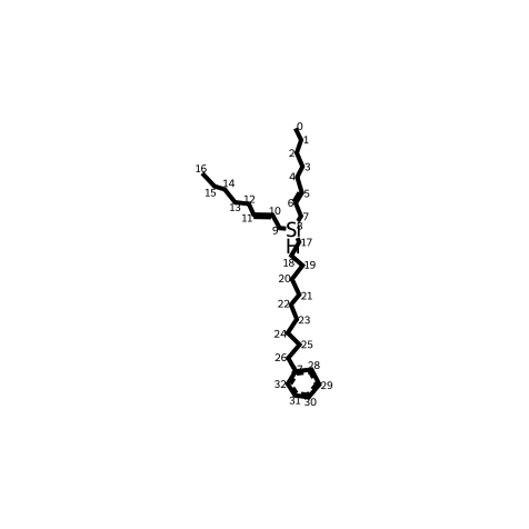 CCCCCC=CC[SiH](CC=CCCCCC)CCCCCCCCCCc1ccccc1